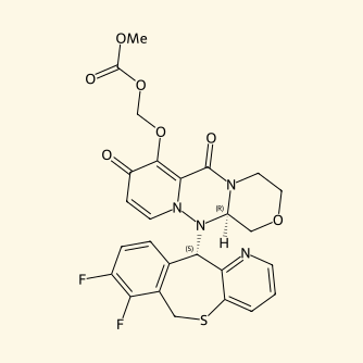 COC(=O)OCOc1c2n(ccc1=O)N([C@H]1c3ccc(F)c(F)c3CSc3cccnc31)[C@@H]1COCCN1C2=O